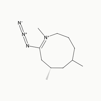 CC1CCC/[N+](C)=C(/N=[N+]=[N-])C[C@@H](C)C1